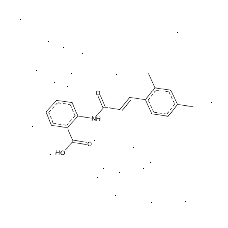 Cc1ccc(C=CC(=O)Nc2ccccc2C(=O)O)c(C)c1